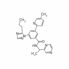 CCCc1ncnn1-c1cc(C(=O)NC(C)c2cnccn2)cc(-c2ccc(C)cn2)c1